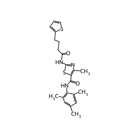 Cc1cc(C)c(NC(=O)c2sc(NC(=O)CCCc3cccs3)nc2C)c(C)c1